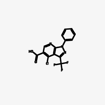 O=C(O)c1cnc2c(c(C(F)(F)F)nn2-c2ccccc2)c1Cl